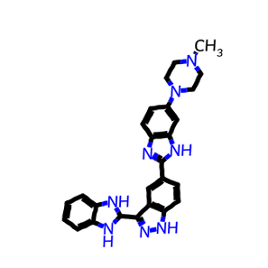 CN1CCN(c2ccc3nc(-c4ccc5[nH]nc(C6Nc7ccccc7N6)c5c4)[nH]c3c2)CC1